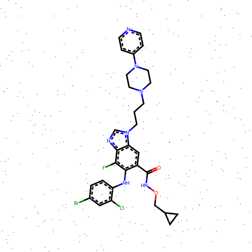 O=C(NOCC1CC1)c1cc2c(ncn2CCCN2CCN(c3ccncc3)CC2)c(F)c1Nc1ccc(Br)cc1Cl